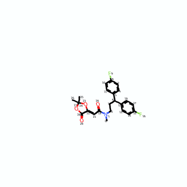 CN(CCC(c1ccc(F)cc1)c1ccc(F)cc1)C(=O)/C=C1\OC(C)(C)OC1=O